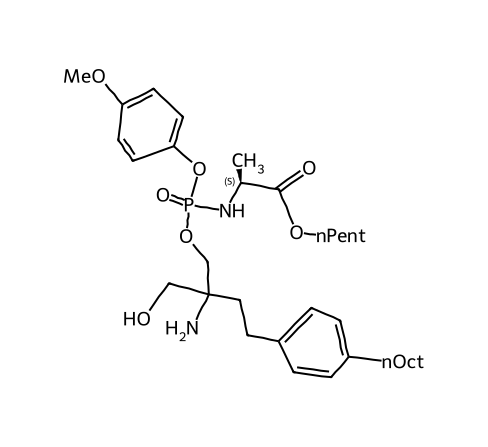 CCCCCCCCc1ccc(CCC(N)(CO)COP(=O)(N[C@@H](C)C(=O)OCCCCC)Oc2ccc(OC)cc2)cc1